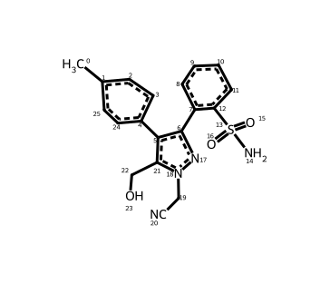 Cc1ccc(-c2c(-c3ccccc3S(N)(=O)=O)nn(CC#N)c2CO)cc1